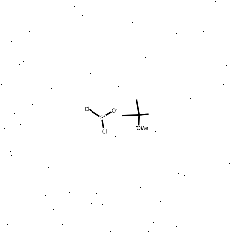 COC(C)(C)C.[O-][S+](Cl)Cl